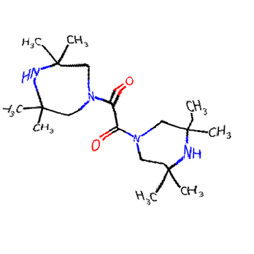 CC1(C)CN(C(=O)C(=O)N2CC(C)(C)NC(C)(C)C2)CC(C)(C)N1